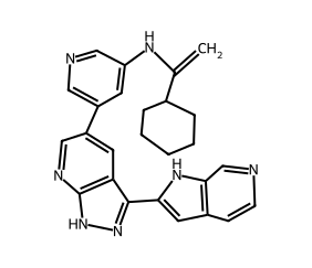 C=C(Nc1cncc(-c2cnc3[nH]nc(-c4cc5ccncc5[nH]4)c3c2)c1)C1CCCCC1